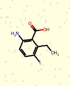 CCc1c(I)ccc(N)c1C(=O)O